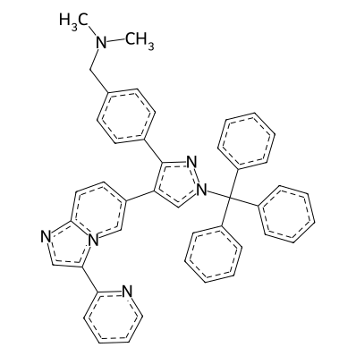 CN(C)Cc1ccc(-c2nn(C(c3ccccc3)(c3ccccc3)c3ccccc3)cc2-c2ccc3ncc(-c4ccccn4)n3c2)cc1